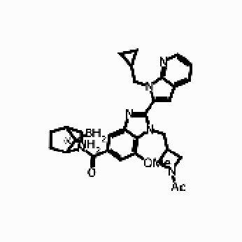 B[C@]1(N)C2CCC1N(C(=O)c1cc(OC)c3c(c1)nc(-c1cc4cccnc4n1CC1CC1)n3CC1CN(C(C)=O)C1)C2